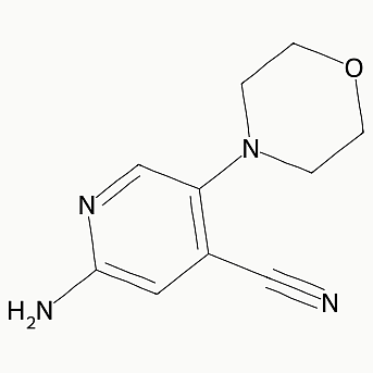 N#Cc1cc(N)ncc1N1CCOCC1